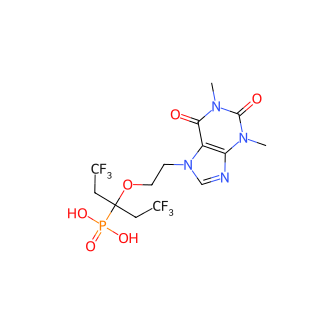 Cn1c(=O)c2c(ncn2CCOC(CC(F)(F)F)(CC(F)(F)F)P(=O)(O)O)n(C)c1=O